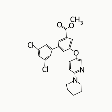 COC(=O)c1cc(Oc2ccc(N3CCCCC3)nc2)cc(-c2cc(Cl)cc(Cl)c2)c1